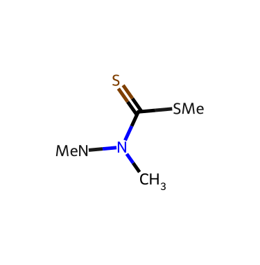 CNN(C)C(=S)SC